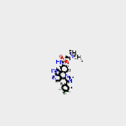 CN(C)CCS(=O)(=O)N[C@H]1CC[C@@H](n2cnc(-c3ccc(F)cc3)c2-c2ccnc3[nH]ccc23)CC1